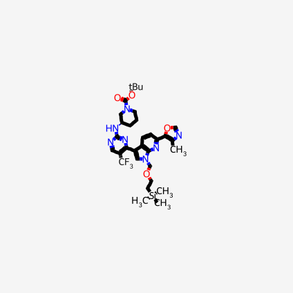 Cc1ncoc1-c1ccc2c(-c3nc(N[C@H]4CCCN(C(=O)OC(C)(C)C)C4)ncc3C(F)(F)F)cn(COCC[Si](C)(C)C)c2n1